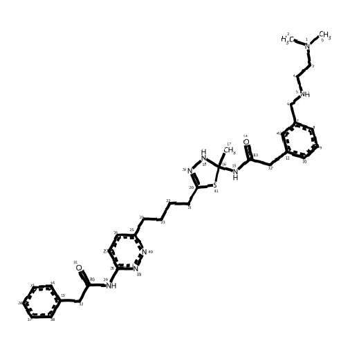 CN(C)CCNCc1cccc(CC(=O)NC2(C)NN=C(CCCCc3ccc(NC(=O)Cc4ccccc4)nn3)S2)c1